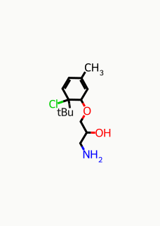 CC1=CC(OCC(O)CN)C(Cl)(C(C)(C)C)C=C1